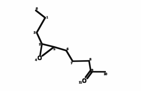 CCCC1OC1CCCC(C)=O